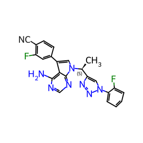 C[C@@H](c1cn(-c2ccccc2F)nn1)n1cc(-c2ccc(C#N)c(F)c2)c2c(N)ncnc21